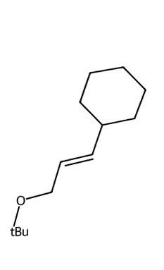 CC(C)(C)OC/C=C/C1CCCCC1